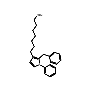 CCCCCCCCCCCCCCCCC[n+]1ccn(-c2ccccc2)c1Cc1ccccc1